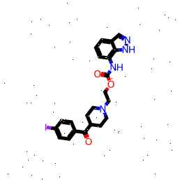 O=C(Nc1cccc2cn[nH]c12)OCCN1CCC(C(=O)c2ccc(I)cc2)CC1